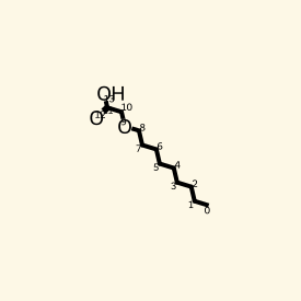 CCCCCCCCCOCC(=O)O